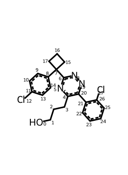 OCCCc1nc(C2(c3ccc(Cl)cc3)CCC2)nnc1-c1ccccc1Cl